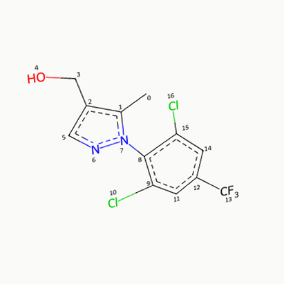 Cc1c(CO)cnn1-c1c(Cl)cc(C(F)(F)F)cc1Cl